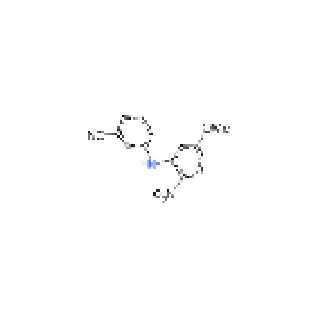 COc1ccc([N+](=O)[O-])c(Nc2cccc(C#N)c2)c1